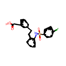 O=C(O)c1cccc(CCc2ccccc2NS(=O)(=O)c2ccc(F)cc2)c1